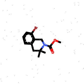 COC(=O)N1Cc2c(Br)cccc2CC1(C)C